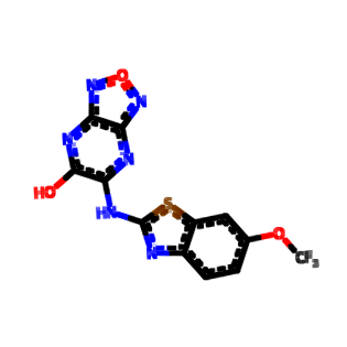 Oc1nc2nonc2nc1Nc1nc2ccc(OC(F)(F)F)cc2s1